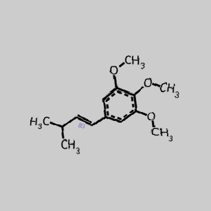 COc1cc(/C=C/C(C)C)cc(OC)c1OC